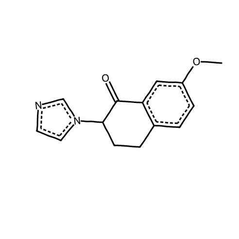 COc1ccc2c(c1)C(=O)C(n1ccnc1)CC2